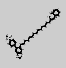 CS(=O)(=O)c1ccc(-c2cc3c(cc2CCCCCCCCCCCCCCC(=O)Cc2ccccc2F)OCO3)cc1